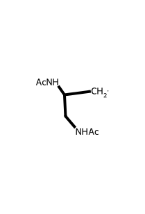 [CH2]C(CNC(C)=O)NC(C)=O